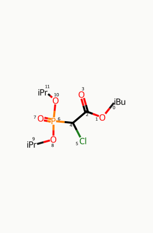 CCC(C)OC(=O)C(Cl)P(=O)(OC(C)C)OC(C)C